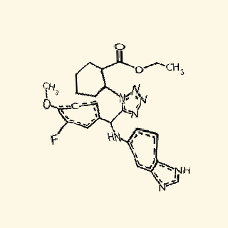 CCOC(=O)C1CCCCC1n1nnnc1C(Nc1ccc2[nH]cnc2c1)c1ccc(OC)c(F)c1